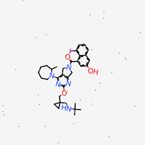 CC1CCCCCN1c1nc(OCC2(CNC(C)(C)C)CC2)nc2c1CN(C(=O)c1cc(O)cc3cccc(I)c13)C2